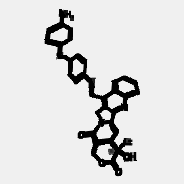 CC[C@@]1(O)C(=O)OCc2c1cc1n(c2=O)Cc2c-1nc1ccccc1c2C=Nc1ccc(Sc2ccc(N)cc2)cc1